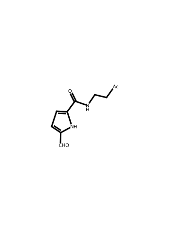 CC(=O)CCNC(=O)c1ccc(C=O)[nH]1